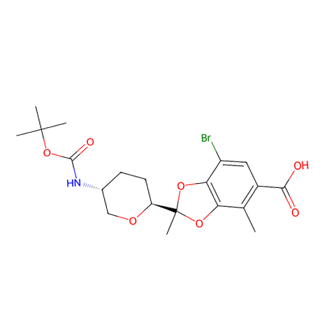 Cc1c(C(=O)O)cc(Br)c2c1OC(C)([C@@H]1CC[C@@H](NC(=O)OC(C)(C)C)CO1)O2